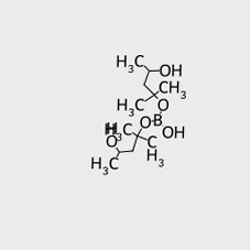 CC(O)CC(C)(C)OB(O)OC(C)(C)CC(C)O